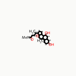 CNC(=O)CCC(C)C1CCC2C3C(O)CC4CC(O)CCC4(C)C3CC3OC312